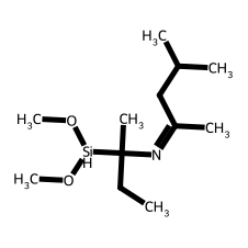 CCC(C)(N=C(C)CC(C)C)[SiH](OC)OC